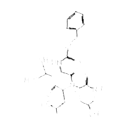 CC(C)CC(C=O)N(C(=O)[C@H](CC(C)C)NC(=O)OCc1ccccc1)[C@@H](CC(C)C)C(N)=O